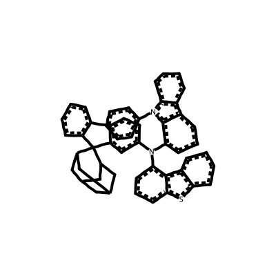 c1ccc(-n2c3ccccc3c3cccc(N(c4ccc5c(c4)C4(c6ccccc6-5)C5CC6CC(C5)CC4C6)c4cccc5sc6ccccc6c45)c32)cc1